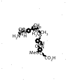 COc1cc2c(cc1OCCCC(=O)O)N=C[C@@H]1Cc3c(CSSC(C)(C)CNC(=O)c4cc(-c5ccc(NC(=O)c6nc(N)cn6C)cc5)cn4C)cccc3N1C2=O